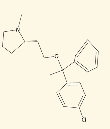 CN1CCC[C@H]1CCOC(C)(c1ccccc1)c1ccc(Cl)cc1